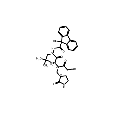 CC(C)(C)C[C@@H](NC(=O)C1(O)c2ccccc2-c2ccccc21)C(=O)N[C@H](C[C@H]1CCNC1=O)C(=O)CO